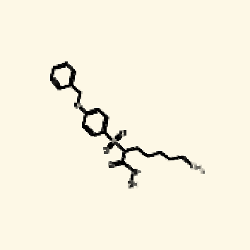 CCCCCCC(C(=O)NO)S(=O)(=O)c1ccc(OCc2ccccc2)cc1